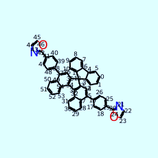 c1ccc2c(c1)-c1ccccc1C21c2cc(-c3ccc(-c4ncco4)cc3)c3ccccc3c2-c2c1cc(-c1ccc(-c3ncco3)cc1)c1ccccc21